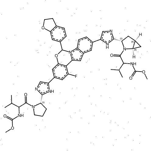 COC(=O)NC(C(=O)N1CCC[C@H]1c1ncc(-c2cc(F)c3c(c2)OC(c2ccc4c(c2)OCC4)n2c-3cc3cc(-c4cnc([C@@H]5C[C@H]6C[C@H]6N5C(=O)C(NC(=O)OC)C(C)C)[nH]4)ccc32)[nH]1)C(C)C